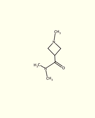 CN1CC(C(=O)N(C)C)C1